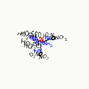 N[C@@H](CCCCNc1ccc([N+](=O)[O-])cc1[N+](=O)[O-])C(=O)N[C@@H](CCCCNc1ccc([N+](=O)[O-])cc1[N+](=O)[O-])C(=O)C(CN(CCN(CC(=O)O)CC(=O)O)CC(=O)O)N(CC(=O)O)CC(=O)O